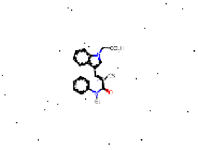 CCN(C(=O)/C(C#N)=C/c1cn(CC(=O)O)c2ccccc12)c1ccccc1